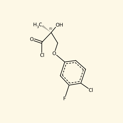 C[C@](O)(COc1ccc(Cl)c(F)c1)C(=O)Cl